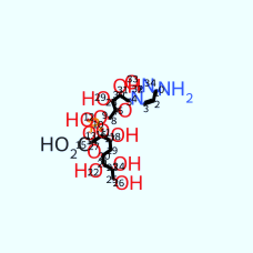 Nc1ccn(C2OC(COP(=O)(O)OC3(C(=O)O)CC(O)CC(C(O)C(O)CO)O3)C(O)C2O)c(=O)n1